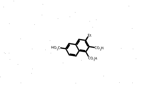 CCc1cc2cc(C(=O)O)ccc2c(C(=O)O)c1C(=O)O